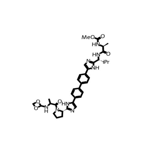 COC(=O)N[C@@H](C)C(=O)N[C@@H](c1ncc(-c2ccc(-c3ccc(-c4cnc([C@@H]5CCCN5C(=O)C(C)NC5OCO5)[nH]4)cc3)cc2)[nH]1)C(C)C